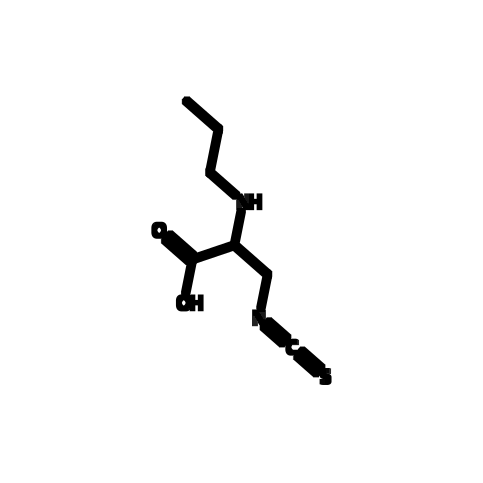 CCCNC(CN=C=S)C(=O)O